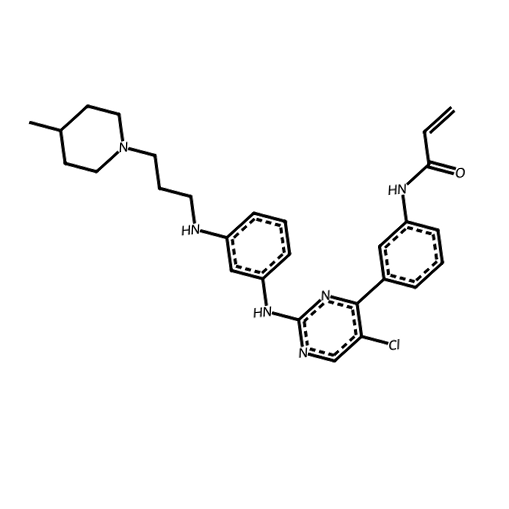 C=CC(=O)Nc1cccc(-c2nc(Nc3cccc(NCCCN4CCC(C)CC4)c3)ncc2Cl)c1